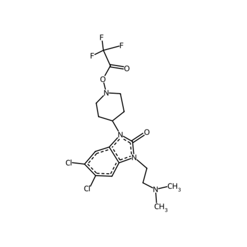 CN(C)CCn1c(=O)n(C2CCN(OC(=O)C(F)(F)F)CC2)c2cc(Cl)c(Cl)cc21